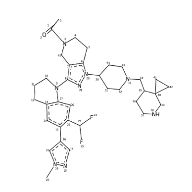 CC(=O)N1CCc2c(c(N3CCCc4cc(-c5cnn(C)c5)c(C(F)F)cc43)nn2C2CCN(CC3CCNCC34CC4)CC2)C1